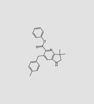 Cc1ccc(Cc2cc3c(nc2C(=O)Oc2ccccc2)C(C)(C)CN3)cc1